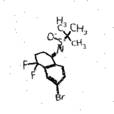 CC(C)(C)[S+]([O-])/N=C1\CCC(F)(F)c2cc(Br)ccc21